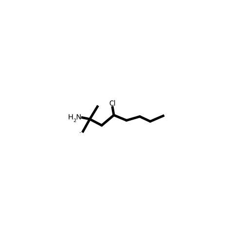 [CH2]C(C)(N)CC(Cl)CCCC